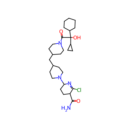 NC(=O)C1CCC(N2CCC(CC3CCN(C(=O)C(O)(C4CCCCC4)C4CC4)CC3)CC2)N=C1Cl